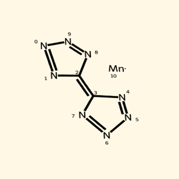 N1=NC(=C2N=NN=N2)N=N1.[Mn]